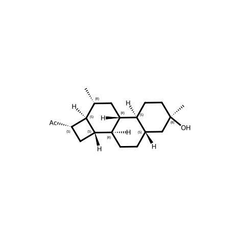 CC(=O)[C@H]1C[C@H]2[C@@H]3CC[C@H]4C[C@](C)(O)CC[C@@H]4[C@H]3C[C@@H](C)[C@@H]21